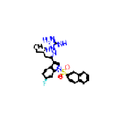 CCCC/C(=N\NC(=N)N)c1cn(S(=O)(=O)c2ccc3ccccc3c2)c2cc(F)ccc12